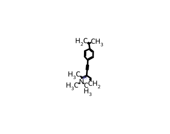 C=C/C(C#Cc1ccc(C(=C)C)cc1)=C(/C)N(C)C